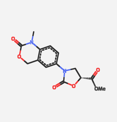 COC(=O)[C@H]1CN(c2ccc3c(c2)COC(=O)N3C)C(=O)O1